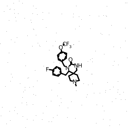 CN1CCC2(CC1)CNC(=O)N(Cc1ccc(OC(F)(F)F)cc1)C2Cc1ccc(F)cc1